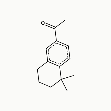 CC(=O)c1ccc2c(c1)CCCC2(C)C